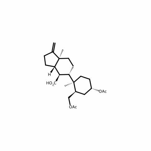 C=C1CC[C@H]2[C@H](C(=O)O)[C@@H]([C@@]3(C)CC[C@H](OC(C)=O)C[C@H]3COC(C)=O)CC[C@]12C